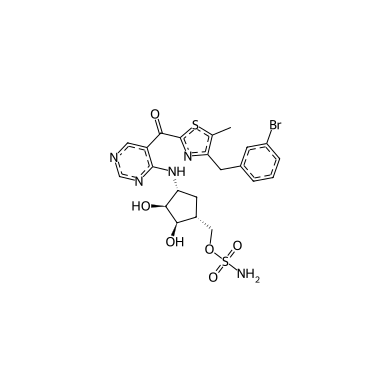 Cc1sc(C(=O)c2cncnc2N[C@@H]2C[C@H](COS(N)(=O)=O)[C@@H](O)[C@H]2O)nc1Cc1cccc(Br)c1